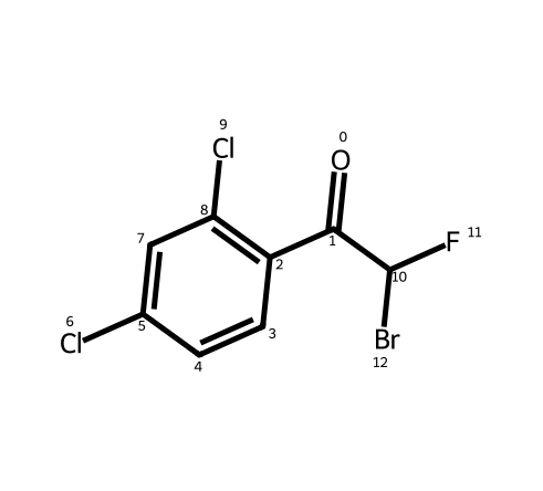 O=C(c1ccc(Cl)cc1Cl)C(F)Br